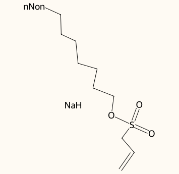 C=CCS(=O)(=O)OCCCCCCCCCCCCCCCC.[NaH]